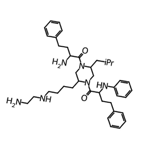 CC(C)CC1CN(C(=O)C(CCc2ccccc2)Nc2ccccc2)C(CCCCNCCN)CN1C(=O)C(N)CCc1ccccc1